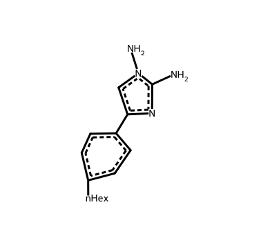 CCCCCCc1ccc(-c2cn(N)c(N)n2)cc1